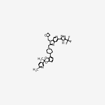 Cc1ccc(C2(C)Oc3cccc(C4CCN(Cc5nc6cc(-c7nnc(C(F)(F)F)[nH]7)ncc6n5C[C@@H]5CCO5)CC4)c3O2)cn1